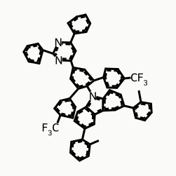 Cc1ccccc1-c1ccc2c(c1)c1cc(-c3ccccc3C)ccc1n2-c1c(-c2ccc(C(F)(F)F)cc2)cc(-c2cc(-c3ccccc3)nc(-c3ccccc3)n2)cc1-c1ccc(C(F)(F)F)cc1